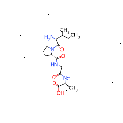 CC[C@H](C)[C@H](N)C(=O)N1CCC[C@H]1C(=O)NCC(=O)N[C@@H](C)C(=O)O